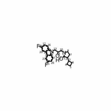 O=C1C(C2CCC2)CCN1CC(O)Cn1c2ccc(F)cc2c2cc(F)ccc21